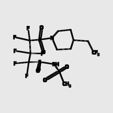 CS(=O)(=O)NS(=O)(=O)C(F)(F)C(F)(F)C(F)(F)S(=O)(=O)N1CCC(CC(F)(F)F)CC1